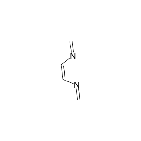 C=N/C=C\N=C